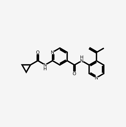 C=C(C)c1ccncc1NC(=O)c1ccnc(NC(=O)C2CC2)c1